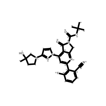 CC1(O)CCN(c2ccn(-c3cc(-c4c(F)cccc4C#N)nc4c3C(=O)N(C(=O)OC(C)(C)C)C4)n2)C1